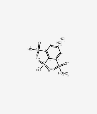 Cl.Cl.Cl.O=S(=O)(O)c1cccc(S(=O)(=O)O)c1S(=O)(=O)O